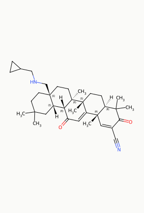 CC1(C)CC[C@]2(CNCC3CC3)CC[C@]3(C)[C@H](C(=O)C=C4[C@@]5(C)C=C(C#N)C(=O)C(C)(C)[C@@H]5CC[C@]43C)[C@@H]2C1